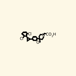 O=C(O)CN1CCC2(CC1)COc1cc(C3CC3c3c(Cl)cccc3Cl)ccc12